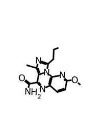 CCCc1nc(C)c2c(C(N)=O)nc3ccc(OC)nc3n12